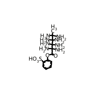 CC(N)(N)C(N)(N)C(N)(N)C(N)(N)C(=O)Oc1ccccc1S(=O)(=O)O